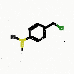 CC[SH](C)c1ccc(CCl)cc1